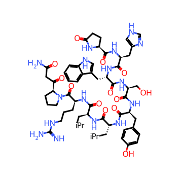 CC(C)C[C@H](NC(=O)[C@@H](CC(C)C)NC(=O)[C@H](Cc1ccc(O)cc1)NC(=O)[C@H](CO)NC(=O)[C@H](Cc1c[nH]c2ccccc12)NC(=O)[C@H](Cc1c[nH]cn1)NC(=O)[C@@H]1CCC(=O)N1)C(=O)N[C@@H](CCCNC(=N)N)C(=O)N1CCC[C@H]1C(=O)CC(N)=O